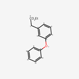 CCOC(=O)Cc1cccc(Oc2ccccc2)c1